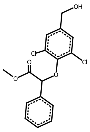 COC(=O)C(Oc1c(Cl)cc(CO)cc1Cl)c1ccccc1